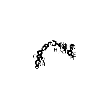 CC(C)(C(=O)Nc1ccc(C(F)(F)F)cc1-n1cccn1)n1cc(C2CCN(CC3CC4CN(c5ccc6c(c5)C(=O)N(C5CCC(=O)NC5=O)C6=O)CC4C3)CC2)cn1